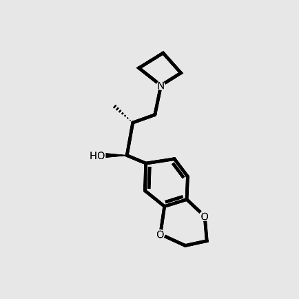 C[C@H](CN1CCC1)[C@H](O)c1ccc2c(c1)OCCO2